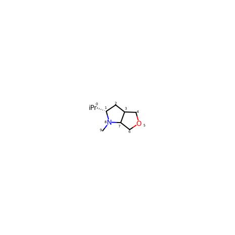 CC(C)[C@@H]1CC2COCC2N1C